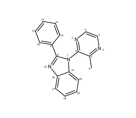 Cc1nccnc1-n1c(-c2ccccc2)nc2ccccc21